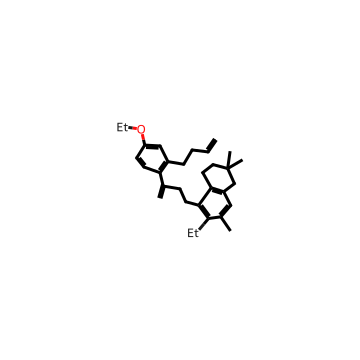 C=CCCc1cc(OCC)ccc1C(=C)CCc1c(CC)c(C)cc2c1CCC(C)(C)C2